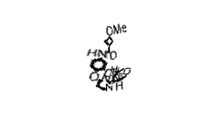 COC1CC(C(=O)Nc2ccc(Oc3ccnc(N4[C@@H]5CC[C@H]4COC5)n3)c(C)c2)C1